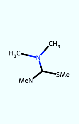 CNC(SC)N(C)C